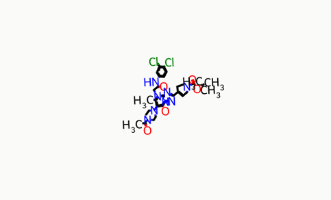 CC(=O)N1CCN(c2c(C)n(CC(=O)Nc3ccc(Cl)c(Cl)c3)c3nc(C4=CCN(C(=O)OC(C)(C)C)CC4)nn3c2=O)CC1